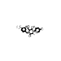 C[C@@H]1C(=O)N(Cc2ccc(C(F)(F)F)cc2)C(CO)C(=O)N1c1ncc(Cl)cc1F